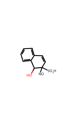 O=NC1(S(=O)(=O)O)C=Cc2ccccc2C1O